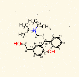 CC(C)N(CC[C@H](c1ccccc1)c1cc(CCO)ccc1O)C(C)C